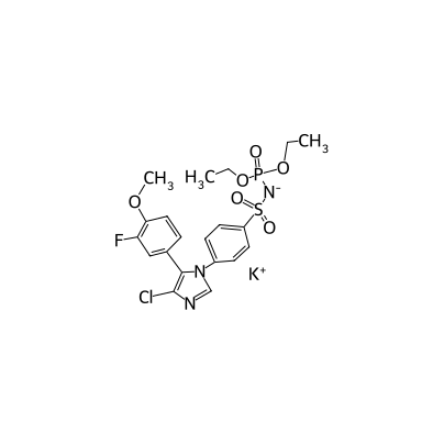 CCOP(=O)([N-]S(=O)(=O)c1ccc(-n2cnc(Cl)c2-c2ccc(OC)c(F)c2)cc1)OCC.[K+]